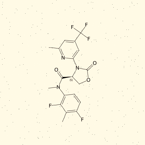 Cc1cc(C(F)(F)F)cc(N2C(=O)OC[C@H]2C(=O)N(C)c2ccc(F)c(C)c2F)n1